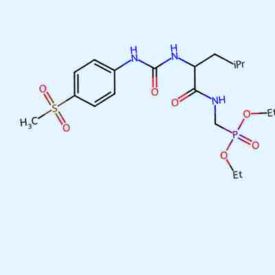 CCOP(=O)(CNC(=O)C(CC(C)C)NC(=O)Nc1ccc(S(C)(=O)=O)cc1)OCC